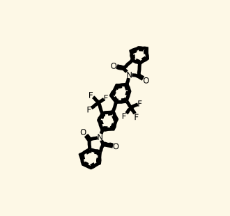 O=C1c2ccccc2C(=O)N1c1ccc(-c2ccc(N3C(=O)c4ccccc4C3=O)cc2C(F)(F)F)c(C(F)(F)F)c1